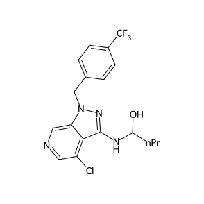 CCCC(O)Nc1nn(Cc2ccc(C(F)(F)F)cc2)c2cncc(Cl)c12